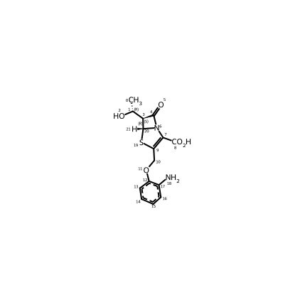 C[C@@H](O)[C@H]1C(=O)N2C(C(=O)O)=C(COc3ccccc3N)S[C@H]12